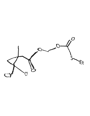 CCSC(=O)OCOC(=O)C1(C)CC1(Cl)Cl